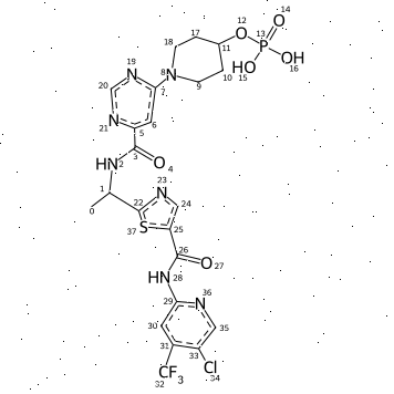 CC(NC(=O)c1cc(N2CCC(OP(=O)(O)O)CC2)ncn1)c1ncc(C(=O)Nc2cc(C(F)(F)F)c(Cl)cn2)s1